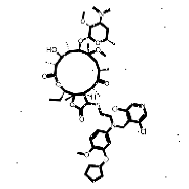 CC[C@H]1OC(=O)[C@H](C)[C@@H](O)[C@H](C)[C@@H](O[C@@H]2O[C@H](C)C[C@H](N(C)C)[C@H]2OC)[C@](C)(OC)C[C@@H](C)C(=O)[C@H](C)[C@H]2C(SCCN(Cc3c(Cl)cncc3Cl)c3ccc(OC)c(OC4CCCC4)c3)C(=O)O[C@@]21C